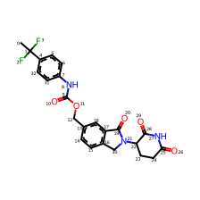 CC(F)(F)c1ccc(NC(=O)OCc2ccc3c(c2)C(=O)N(C2CCC(=O)NC2=O)C3)cc1